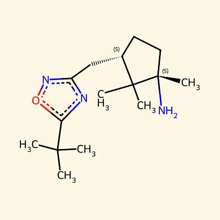 CC(C)(C)c1nc(C[C@@H]2CC[C@](C)(N)C2(C)C)no1